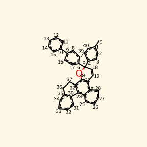 Cc1ccc(C2(c3ccc(-c4ccccc4)cc3)C=Cc3c(c4c(c5ccccc35)-c3ccccc3CC4)O2)cc1